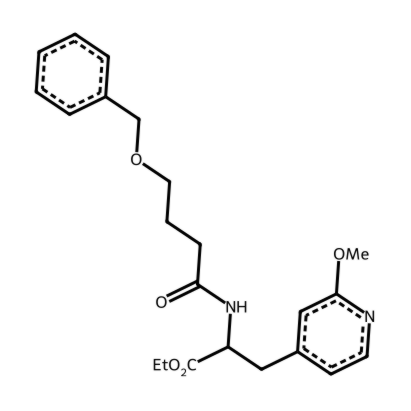 CCOC(=O)C(Cc1ccnc(OC)c1)NC(=O)CCCOCc1ccccc1